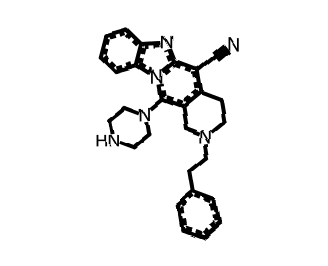 N#Cc1c2c(c(N3CCNCC3)n3c1nc1ccccc13)CN(CCc1ccccc1)CC2